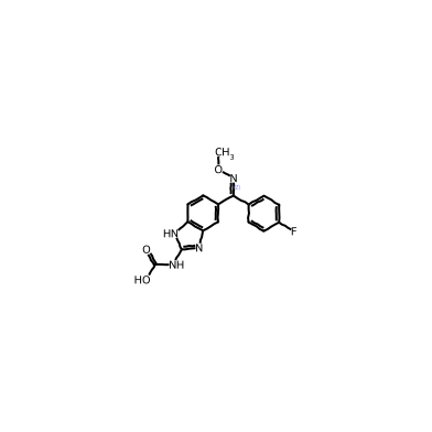 CO/N=C(/c1ccc(F)cc1)c1ccc2[nH]c(NC(=O)O)nc2c1